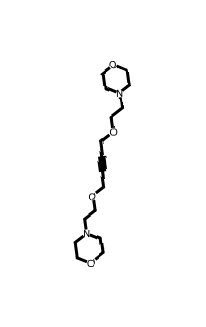 C(#CCOCCN1CCOCC1)COCCN1CCOCC1